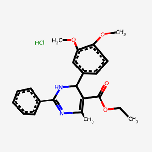 CCOC(=O)C1=C(C)N=C(c2ccccc2)NC1c1ccc(OC)c(OC)c1.Cl